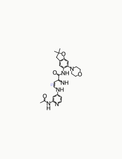 CC(=O)Nc1cc(N/C=C\C(=N)C(=O)Nc2cc3c(cc2N2CCOCC2)OC(C)(C)C3)ccn1